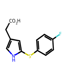 O=C(O)Cc1c[nH]c(Sc2ccc(F)cc2)c1